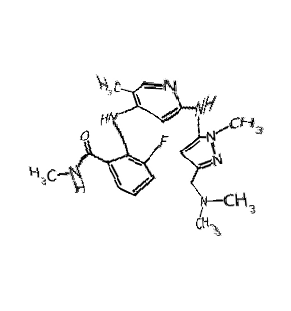 CNC(=O)c1cccc(F)c1Nc1cc(Nc2cc(CN(C)C)nn2C)ncc1C